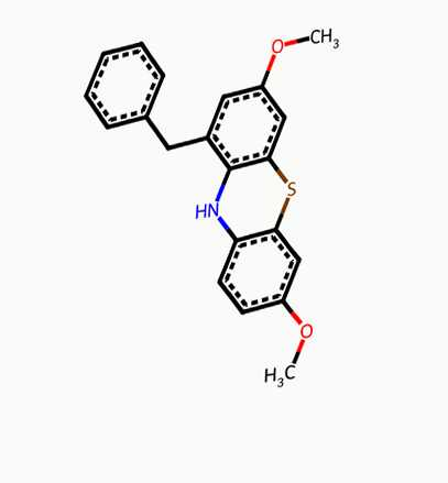 COc1ccc2c(c1)Sc1cc(OC)cc(Cc3ccccc3)c1N2